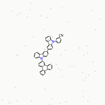 N#Cc1cccc(-n2c3ccccc3c3cc(-c4ccc5c(c4)c4ccccc4n5-c4ccc5c6ccccc6c6ccccc6c5c4)ccc32)c1